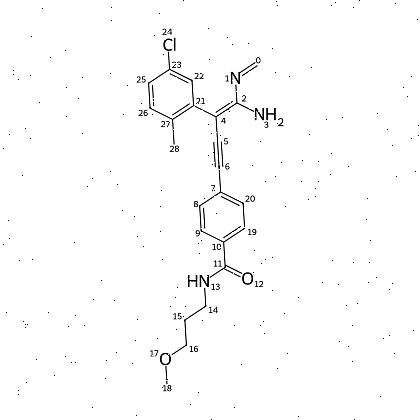 C=N/C(N)=C(/C#Cc1ccc(C(=O)NCCCOC)cc1)c1cc(Cl)ccc1C